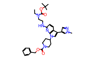 CCN(CCNc1ccc2c(-c3cnn(C)c3)cn(C3CCN(C(=O)OCc4ccccc4)CC3)c2n1)C(=O)OC(C)(C)C